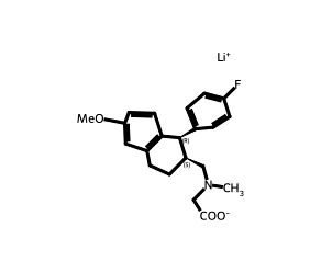 COc1ccc2c(c1)CC[C@H](CN(C)CC(=O)[O-])[C@@H]2c1ccc(F)cc1.[Li+]